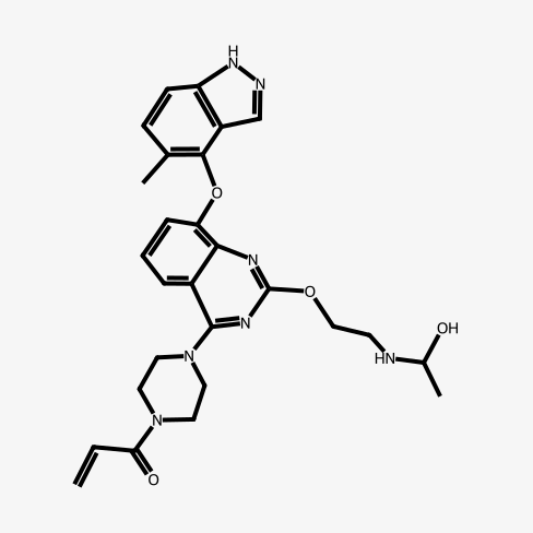 C=CC(=O)N1CCN(c2nc(OCCNC(C)O)nc3c(Oc4c(C)ccc5[nH]ncc45)cccc23)CC1